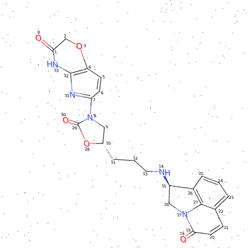 O=C1COc2ccc(N3C[C@H](CCCN[C@@H]4Cn5c(=O)ccc6cccc4c65)OC3=O)nc2N1